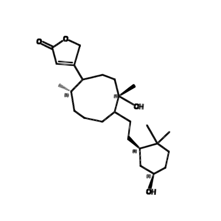 C[C@H]1CCCC(CC[C@@H]2C[C@H](O)CCC2(C)C)[C@@](C)(O)CCC1C1=CC(=O)OC1